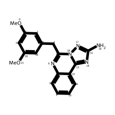 COc1cc(Cc2nc3ccccc3c3nc(N)nn23)cc(OC)c1